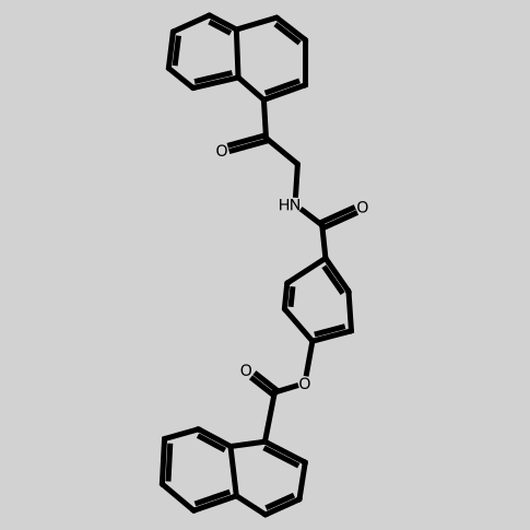 O=C(NCC(=O)c1cccc2ccccc12)c1ccc(OC(=O)c2cccc3ccccc23)cc1